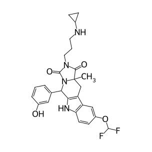 CC12Cc3c([nH]c4ccc(OC(F)F)cc34)C(c3cccc(O)c3)N1C(=O)N(CCCNC1CC1)C2=O